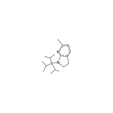 Cc1ccc2c(n1)N(S(C(C)C)(C(C)C)C(C)C)CC2